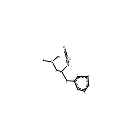 CN(C)CC(Cc1ccccc1)N=[N+]=[N-]